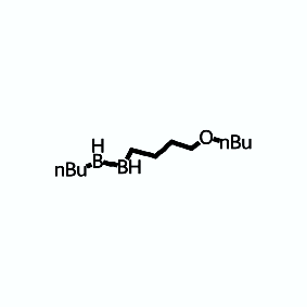 CCCCBBCCCCOCCCC